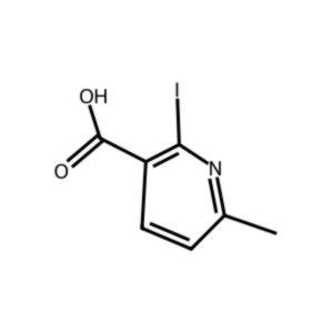 Cc1ccc(C(=O)O)c(I)n1